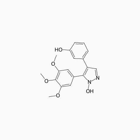 COc1cc(-c2c(-c3cccc(O)c3)cnn2O)cc(OC)c1OC